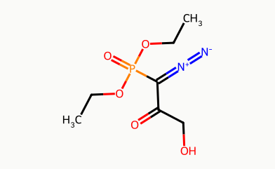 CCOP(=O)(OCC)C(=[N+]=[N-])C(=O)CO